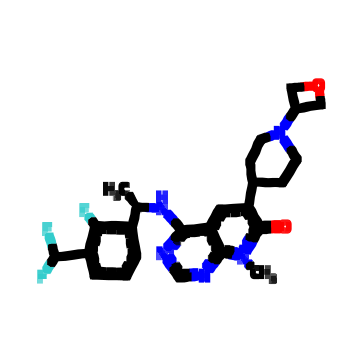 C[C@@H](Nc1ncnc2c1cc(C1CCN(C3COC3)CC1)c(=O)n2C)c1cccc(C(F)F)c1F